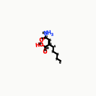 CCCCCC(=CC(N)=O)C(=O)O